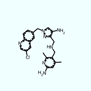 Cc1cc(N)nc(C)c1CNCc1nn(Cc2ccc3ncc(Cl)cc3c2)cc1N